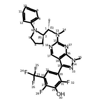 C[C@@H]([C@H]1CCCN1c1ccccc1)N(C)c1ncc2c(-c3cc(C(F)(F)F)c(F)c(O)c3F)nn(C)c2n1